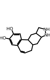 Oc1cc2c(cc1O)C1CC3CNNC3CC1CC=C2